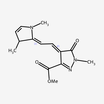 COC(=O)C1=NN(C)C(=O)/C1=C/C=C1/C(C)C=CN1C